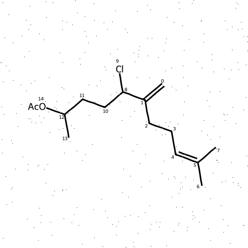 C=C(CCC=C(C)C)C(Cl)CCC(C)OC(C)=O